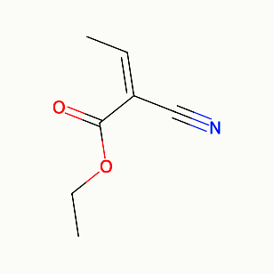 C/C=C(/C#N)C(=O)OCC